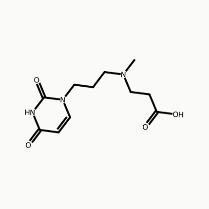 CN(CCCn1ccc(=O)[nH]c1=O)CCC(=O)O